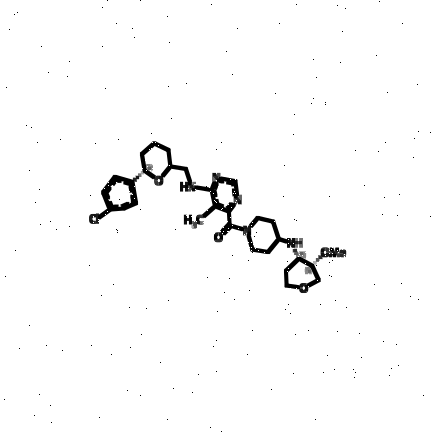 CO[C@@H]1COCC[C@@H]1NC1CCN(C(=O)c2ncnc(NCC3CCC[C@@H](c4ccc(Cl)cc4)O3)c2C)CC1